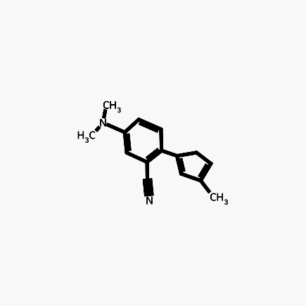 CC1=CCC(c2ccc(N(C)C)cc2C#N)=C1